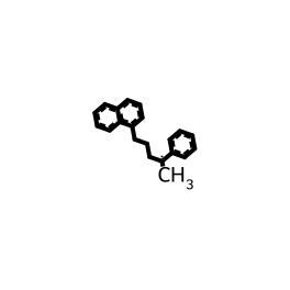 C[C](CCCc1cccc2ccccc12)c1ccccc1